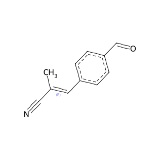 C/C(C#N)=C\c1ccc(C=O)cc1